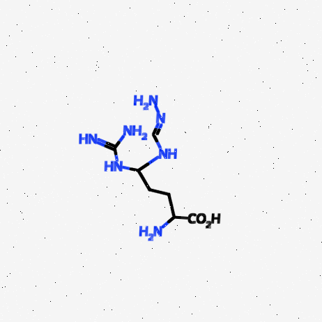 N=C(N)NC(CCC(N)C(=O)O)NC=NN